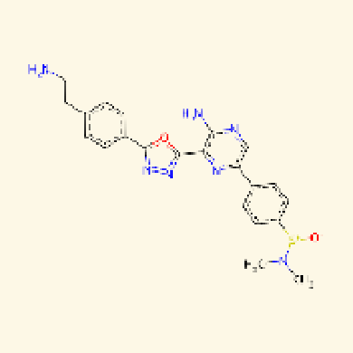 CN(C)[S+]([O-])c1ccc(-c2cnc(N)c(-c3nnc(-c4ccc(CCN)cc4)o3)n2)cc1